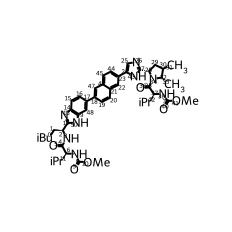 CCC(C)C[C@H](NC(=O)[C@@H](NC(=O)OC)C(C)C)c1nc2ccc(-c3ccc4cc(-c5cnc([C@@H]6CC(C)[C@@H](C)N6C(=O)[C@@H](NC(=O)OC)C(C)C)[nH]5)ccc4c3)cc2[nH]1